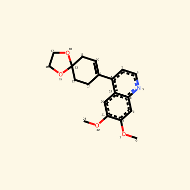 COc1cc2nccc(C3=CCC4(CC3)OCCO4)c2cc1OC